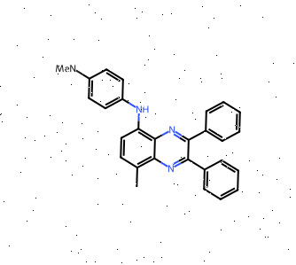 CNc1ccc(Nc2ccc(C)c3nc(-c4ccccc4)c(-c4ccccc4)nc23)cc1